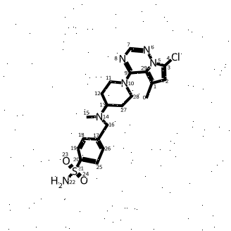 Cc1cc(Cl)n2ncnc(N3CCC(N(C)Cc4ccc(S(N)(=O)=O)cc4)CC3)c12